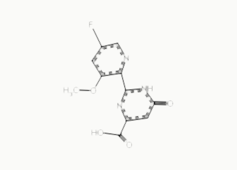 COc1cc(F)cnc1-c1nc(C(=O)O)cc(=O)[nH]1